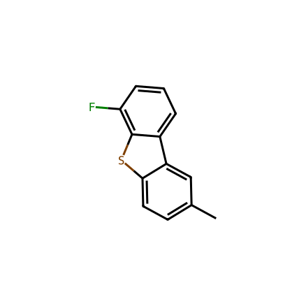 Cc1ccc2sc3c(F)cccc3c2c1